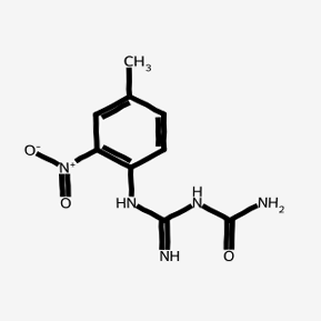 Cc1ccc(NC(=N)NC(N)=O)c([N+](=O)[O-])c1